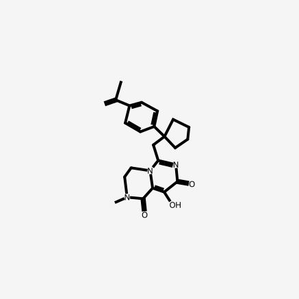 C=C(C)c1ccc(C2(Cc3nc(=O)c(O)c4n3CCN(C)C4=O)CCCC2)cc1